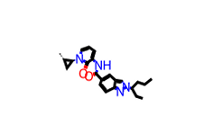 CCCC(CC)n1cc2cc(C(=O)Nc3cccn([C@@H]4C[C@@H]4C)c3=O)ccc2n1